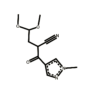 COC(CC(C#N)C(=O)c1cnn(C)c1)OC